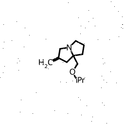 C=C1CN2CCCC2(COC(C)C)C1